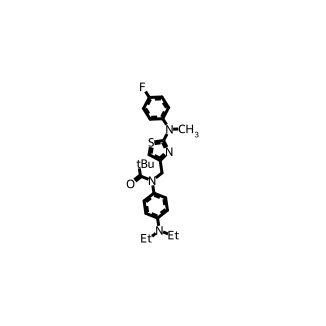 CCN(CC)c1ccc(N(Cc2csc(N(C)c3ccc(F)cc3)n2)C(=O)C(C)(C)C)cc1